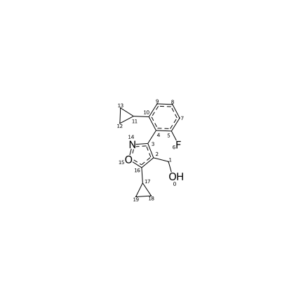 OCc1c(-c2c(F)cccc2C2CC2)noc1C1CC1